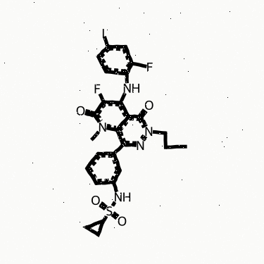 CCCn1nc(-c2cccc(NS(=O)(=O)C3CC3)c2)c2c(c(Nc3ccc(I)cc3F)c(F)c(=O)n2C)c1=O